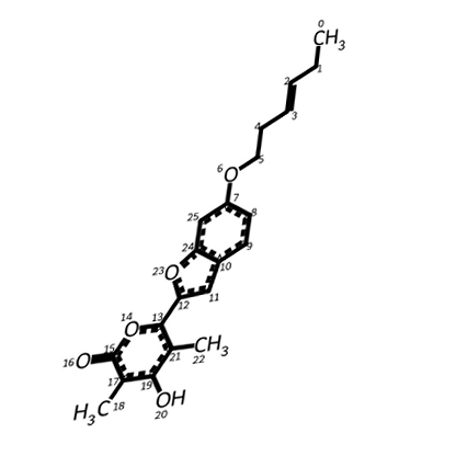 CCC=CCCOc1ccc2cc(-c3oc(=O)c(C)c(O)c3C)oc2c1